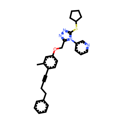 Cc1cc(OCc2nnc(SC3CCCC3)n2-c2cccnc2)ccc1C#CCCc1ccccc1